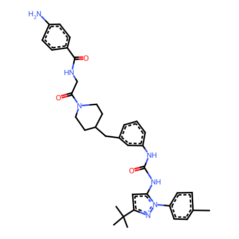 Cc1ccc(-n2nc(C(C)(C)C)cc2NC(=O)Nc2cccc(CC3CCN(C(=O)CNC(=O)c4ccc(N)cc4)CC3)c2)cc1